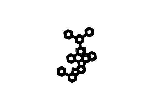 c1ccc(-c2cc(-c3ccccc3)cc(-c3nc(-c4ccccc4)nc(-c4ccccc4C4c5ccccc5-c5ccc6c(sc7c(-c8ccccc8)cccc76)c54)n3)c2)cc1